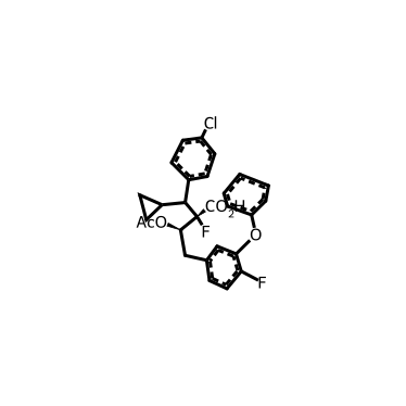 CC(=O)O[C@H](Cc1ccc(F)c(Oc2ccccc2)c1)[C@](F)(C(=O)O)C(c1ccc(Cl)cc1)C1CC1